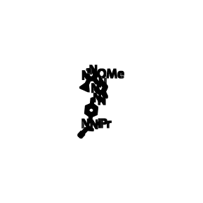 C#Cc1cn(C(C)C)c(-c2ccc(Cn3ncc4cnc(-c5c(OC)ncnc5C5CC5)nc43)cc2)n1